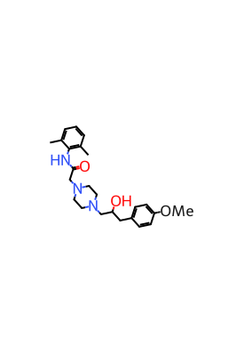 COc1ccc(CC(O)CN2CCN(CC(=O)Nc3c(C)cccc3C)CC2)cc1